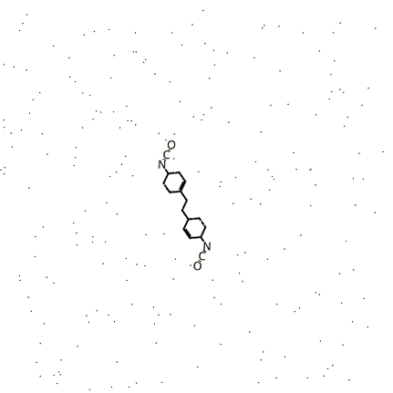 O=C=NC1C=CC(CCC2=CCC(N=C=O)CC2)CC1